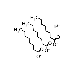 CCCCCCCC(=O)[O-].CCCCCCCC(=O)[O-].CCCCCCCC(=O)[O-].[Ir+3]